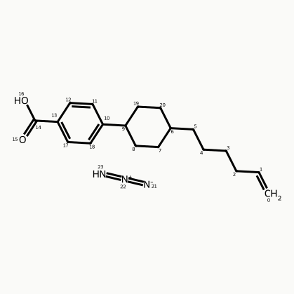 C=CCCCCC1CCC(c2ccc(C(=O)O)cc2)CC1.[N-]=[N+]=N